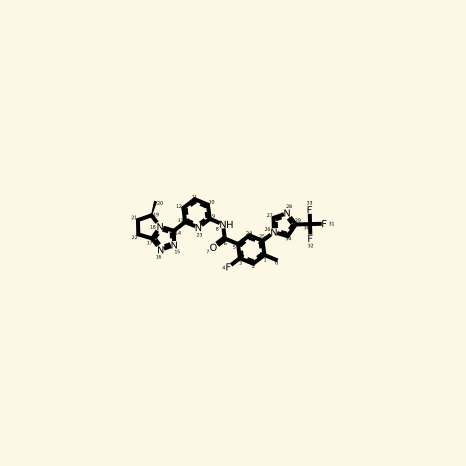 Cc1cc(F)c(C(=O)Nc2cccc(-c3nnc4n3[C@H](C)CC4)n2)cc1-n1cnc(C(F)(F)F)c1